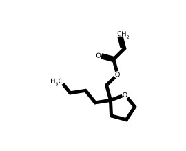 C=CC(=O)OCC1(CCCC)CCCO1